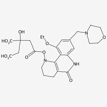 CCOc1cc(CN2CCOCC2)cc2[nH]c(=O)c3c(c12)N(OC(=O)CC(O)(CC(=O)O)C(=O)O)CCC3